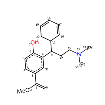 C=C(OC)c1ccc(O)c(C(CCN(C(C)C)C(C)C)C2C=CC=CC2)c1